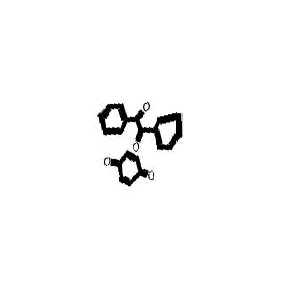 O=C(C(=O)c1ccccc1)c1ccccc1.O=C1C=CC(=O)C=C1